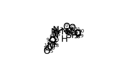 O=C(NCc1cn(-c2ccc(N3CCOCC3)c(F)c2)nn1)N(S)C(=O)c1ccccc1